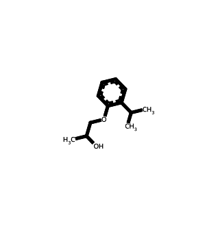 CC(O)COc1ccccc1C(C)C